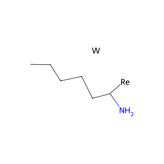 CCCCC[CH](N)[Re].[W]